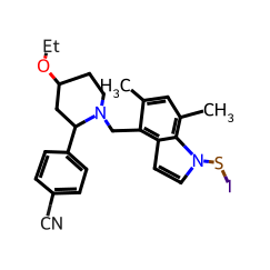 CCOC1CCN(Cc2c(C)cc(C)c3c2ccn3SI)C(c2ccc(C#N)cc2)C1